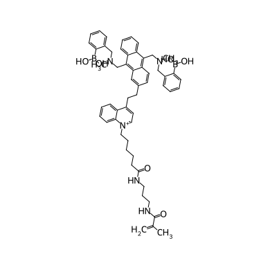 C=C(C)C(=O)NCCCNC(=O)CCCCC[n+]1ccc(CCc2ccc3c(CN(C)Cc4ccccc4B(O)O)c4ccccc4c(CN(C)Cc4ccccc4B(O)O)c3c2)c2ccccc21